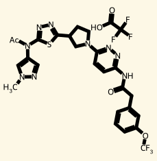 CC(=O)N(c1cnn(C)c1)c1nnc(C2CCN(c3ccc(NC(=O)Cc4cccc(OC(F)(F)F)c4)nn3)C2)s1.O=C(O)C(F)(F)F